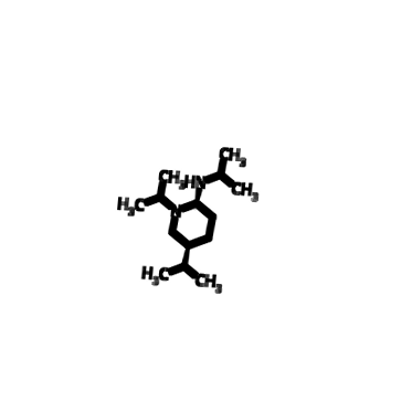 CC(C)N[C@H]1CC[C@@H](C(C)C)CN1C(C)C